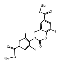 CC(C)(C)OC(=O)c1cc(I)c(OC(=O)Oc2c(I)cc(C(=O)OC(C)(C)C)cc2I)c(I)c1